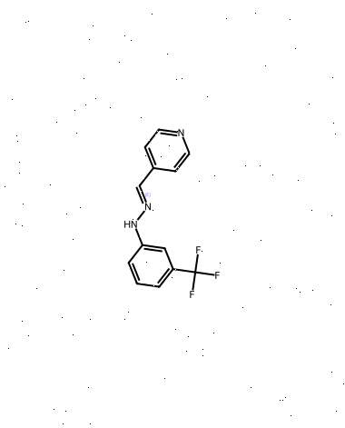 FC(F)(F)c1cccc(N/N=C/c2ccncc2)c1